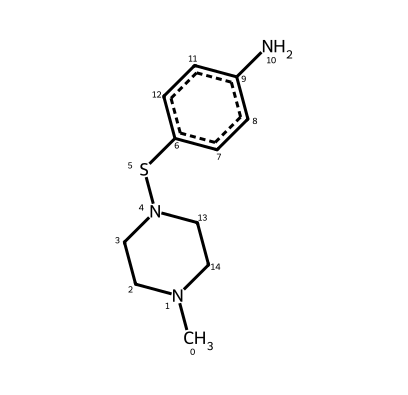 CN1CCN(Sc2ccc(N)cc2)CC1